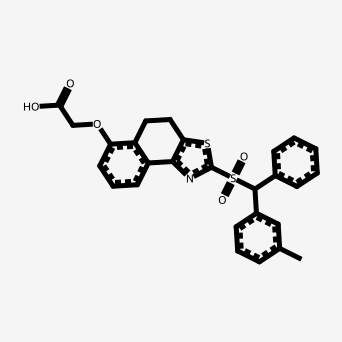 Cc1cccc(C(c2ccccc2)S(=O)(=O)c2nc3c(s2)CCc2c(OCC(=O)O)cccc2-3)c1